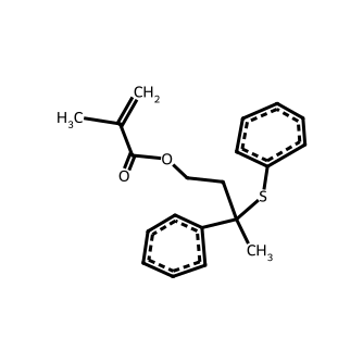 C=C(C)C(=O)OCCC(C)(Sc1ccccc1)c1ccccc1